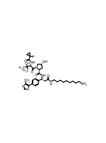 Cc1ncsc1-c1ccc([C@H](CC(=O)NCCCCCCCCCN)NC(=O)[C@@H]2C[C@@H](O)CN2C(=O)[C@@H](NC(=O)C2(F)CC2)C(C)(C)C)cc1